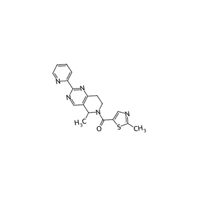 Cc1ncc(C(=O)N2CCc3nc(-c4ccccn4)ncc3C2C)s1